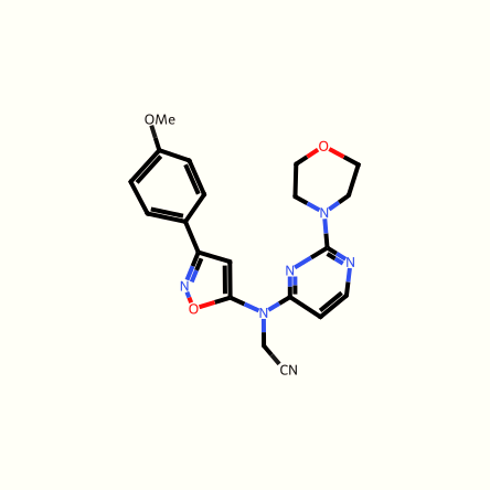 COc1ccc(-c2cc(N(CC#N)c3ccnc(N4CCOCC4)n3)on2)cc1